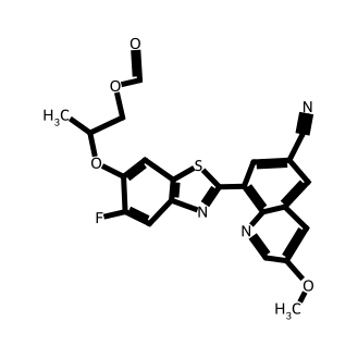 COc1cnc2c(-c3nc4cc(F)c(OC(C)COC=O)cc4s3)cc(C#N)cc2c1